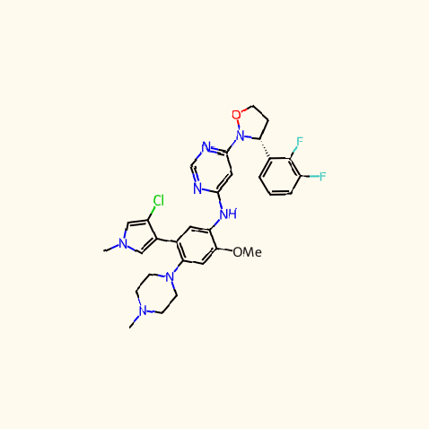 COc1cc(N2CCN(C)CC2)c(-c2cn(C)cc2Cl)cc1Nc1cc(N2OCC[C@@H]2c2cccc(F)c2F)ncn1